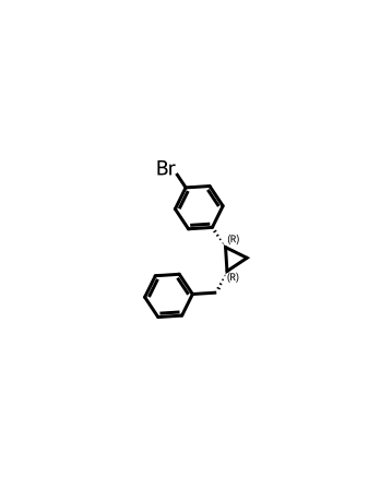 Brc1ccc([C@@H]2C[C@@H]2Cc2ccccc2)cc1